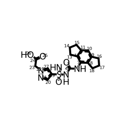 N=S(=O)(NC(=O)Nc1c2c(cc3c1CCC3)CCC2)c1cnn(CC(=O)O)c1